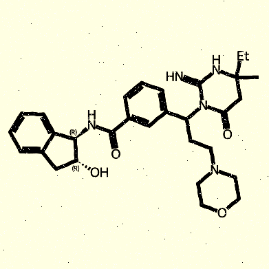 CCC1(C)CC(=O)N(C(CCN2CCOCC2)c2cccc(C(=O)N[C@@H]3c4ccccc4C[C@H]3O)c2)C(=N)N1